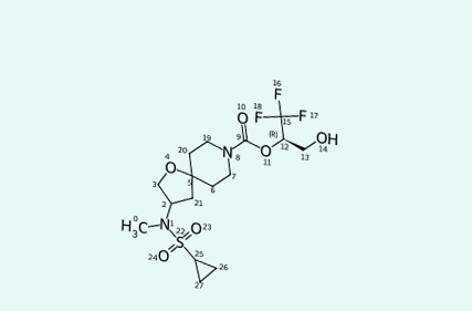 CN(C1COC2(CCN(C(=O)O[C@H](CO)C(F)(F)F)CC2)C1)S(=O)(=O)C1CC1